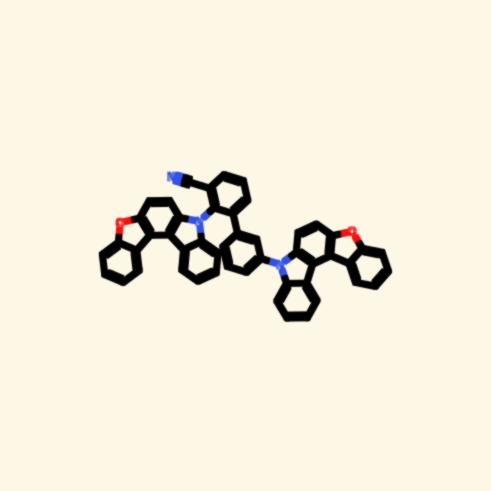 N#Cc1cccc(-c2cccc(-n3c4ccccc4c4c5c(ccc43)oc3ccccc35)c2)c1-n1c2ccccc2c2c3c(ccc21)oc1ccccc13